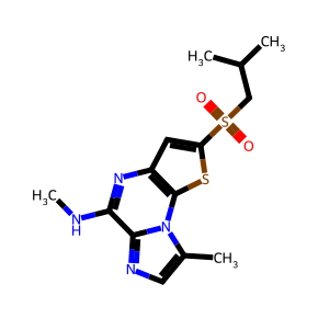 CNc1nc2cc(S(=O)(=O)CC(C)C)sc2n2c(C)cnc12